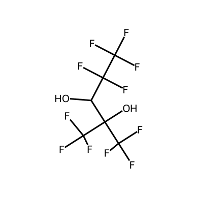 OC(C(F)(F)C(F)(F)F)C(O)(C(F)(F)F)C(F)(F)F